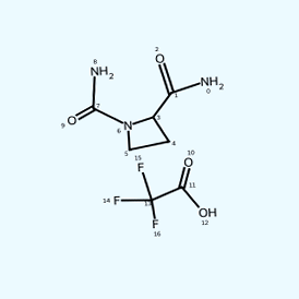 NC(=O)C1CCN1C(N)=O.O=C(O)C(F)(F)F